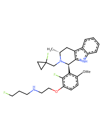 COc1ccc(OCCNCCCF)c(F)c1[C@@H]1c2[nH]c3ccccc3c2C[C@@H](C)N1CC1(F)CC1